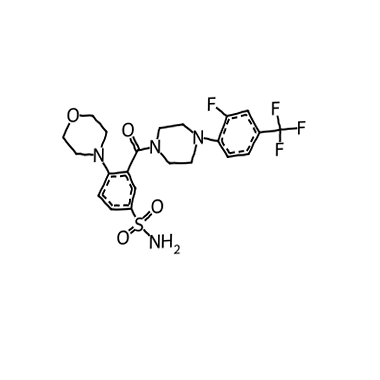 NS(=O)(=O)c1ccc(N2CCOCC2)c(C(=O)N2CCN(c3ccc(C(F)(F)F)cc3F)CC2)c1